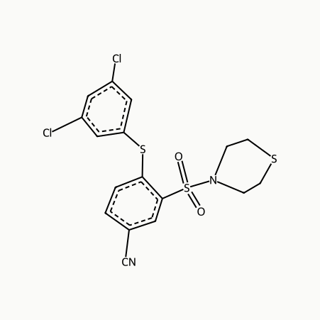 N#Cc1ccc(Sc2cc(Cl)cc(Cl)c2)c(S(=O)(=O)N2CCSCC2)c1